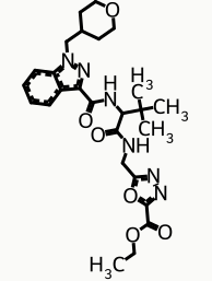 CCOC(=O)c1nnc(CNC(=O)C(NC(=O)c2nn(CC3CCOCC3)c3ccccc23)C(C)(C)C)o1